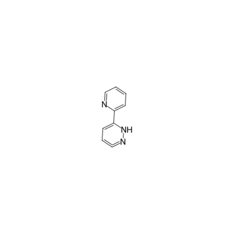 C1=CC=C(c2ccccn2)NN=1